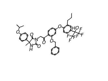 CCCc1cc(C(O)(C(F)(F)F)C(F)(F)F)ccc1Oc1ccc(C(=O)CN2C(=O)NC(C)(c3ccc(OC(C)C)cc3)C2=O)c(OCc2ccccc2)c1